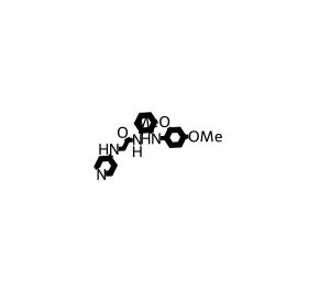 COc1ccc(Nc2ccccc2NC(=O)CNc2ccncc2)c(OC)c1